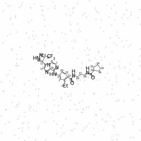 CCc1cc(Nc2nccn3c(-c4c[nH]nc4C(F)(F)F)cnc23)ccc1C(=O)NCCCNC(=O)C1CCCC1